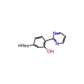 CCCCCCc1ccc(-c2ncccn2)c(O)c1